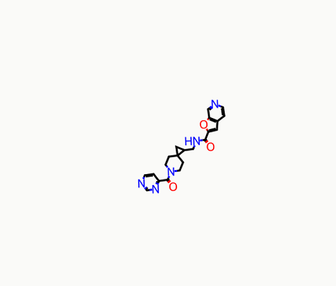 O=C(NCC1CC12CCN(C(=O)c1ccncn1)CC2)c1cc2ccncc2o1